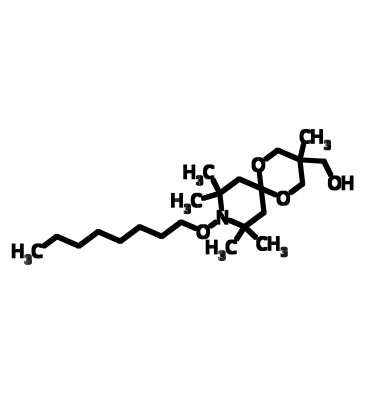 CCCCCCCCON1C(C)(C)CC2(CC1(C)C)OCC(C)(CO)CO2